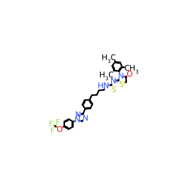 Cc1cc(C)c(N2C(=O)CS/C2=N\C(=S)NCCCCc2ccc(-c3ncn(-c4ccc(OC(F)(F)F)cc4)n3)cc2)c(C)c1